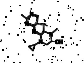 Cc1ncc2cc3c(nc2n1)N(C1CC1)CC(O)N3C